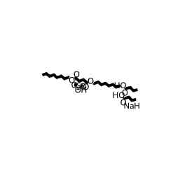 CCCC(=O)O.CCCC(=O)O.CCCCCCCCOC(=O)CC(C(=O)OCCCCCCCC)S(=O)(=O)O.[NaH]